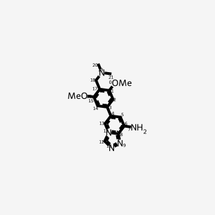 COc1cc(-c2cc(N)c3nncn3c2)cc(OC)c1CN(C)C